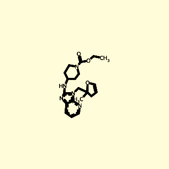 CCOC(=O)N1CCC(Nc2nc3cccnc3n2CC2(C)CC=CO2)CC1